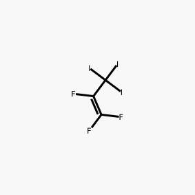 FC(F)=C(F)C(I)(I)I